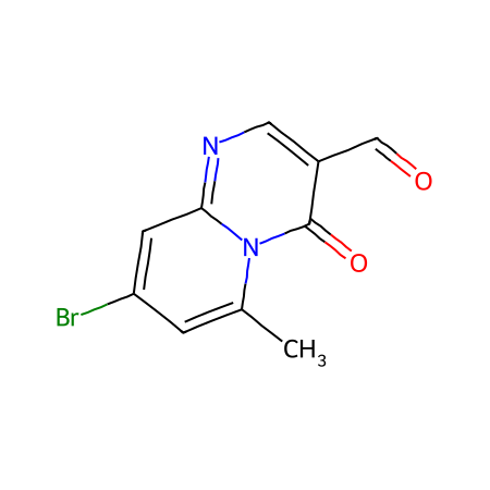 Cc1cc(Br)cc2ncc(C=O)c(=O)n12